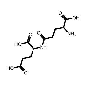 NC(CCC(=O)N[C@@H](CCC(=O)O)C(=O)O)C(=O)O